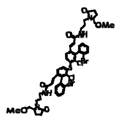 COC[C@@H]1CCC(=O)N1CCCNC(=O)/C=C/c1ccc(Sc2ccc(/C=C/C(=O)NCCCN3C(=O)CC[C@H]3COC)c(-c3ccccc3Br)c2Cl)c(Cl)c1-c1ccccc1Br